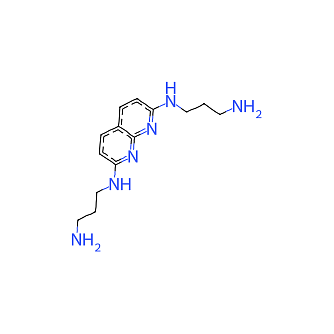 NCCCNc1ccc2ccc(NCCCN)nc2n1